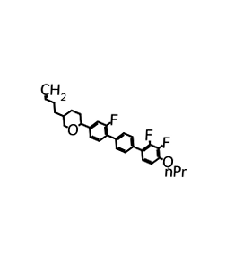 C=CCCC1CCC(c2ccc(-c3ccc(-c4ccc(OCCC)c(F)c4F)cc3)c(F)c2)OC1